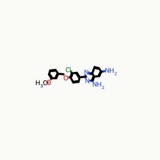 COc1cccc(COc2ccc(-c3nc(N)c4cc(N)ccc4n3)cc2Cl)c1